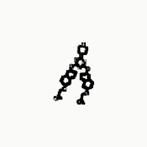 c1cc2cc(Oc3nc(Oc4ccc5cc(OCC6CO6)ccc5c4)nc(N4CCOCC4)n3)ccc2cc1OCC1CO1